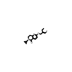 CC/C(=C\F)COc1ccc2c(n1)CCN(C1CC1)C2=O